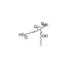 CCCCCC(O)C=CC1C(C[N+](=O)[O-])CC(=O)C1CC=CCCCC(=O)O